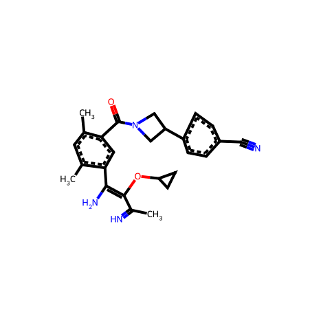 CC(=N)/C(OC1CC1)=C(\N)c1cc(C(=O)N2CC(c3ccc(C#N)cc3)C2)c(C)cc1C